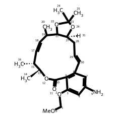 COCOc1cc(N)cc2c1C(=O)O[C@@H](C)[C@H](C)/C=C\C(C)C1OC(C)(C)O[C@H]1C/C=C/2